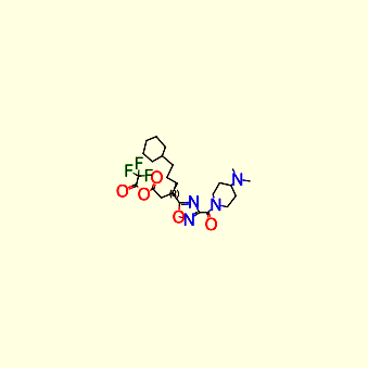 CN(C)C1CCN(C(=O)c2noc([C@H](CCCC3CCCCC3)CC(=O)OC(=O)C(F)(F)F)n2)CC1